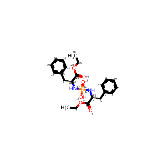 CCOC(=O)[C@H](Cc1ccccc1)NP(=O)(O)N[C@@H](Cc1ccccc1)C(=O)OCC